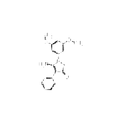 COc1cc(OC)cc(N2CC(=O)C(c3ccccc3)=C2N)c1